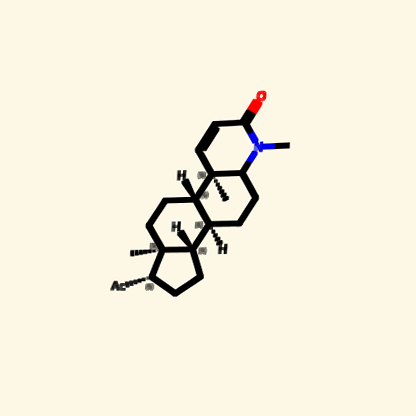 CC(=O)[C@H]1CC[C@H]2[C@@H]3CCC4N(C)C(=O)C=C[C@]4(C)[C@H]3CC[C@]12C